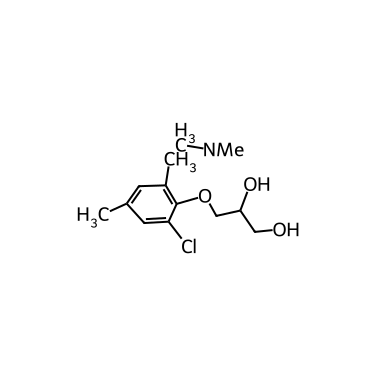 CNC.Cc1cc(C)c(OCC(O)CO)c(Cl)c1